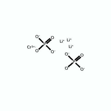 O=P([O-])([O-])[O-].O=P([O-])([O-])[O-].[Cr+3].[Li+].[Li+].[Li+]